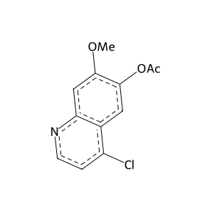 COc1cc2nccc(Cl)c2cc1OC(C)=O